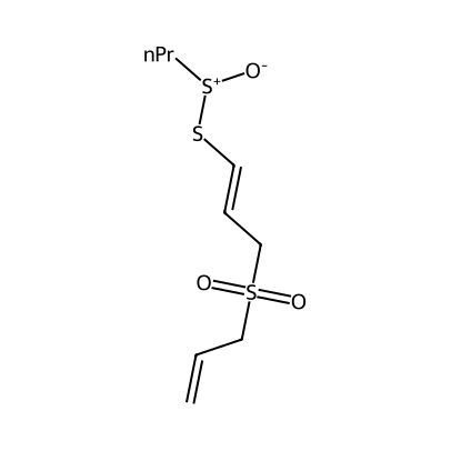 C=CCS(=O)(=O)C/C=C/S[S+]([O-])CCC